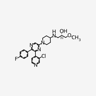 COC[C@@H](O)CNC1CCN(c2cnc(-c3ccc(F)cc3)c(-c3ccncc3Cl)n2)CC1